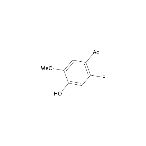 COc1cc(C(C)=O)c(F)cc1O